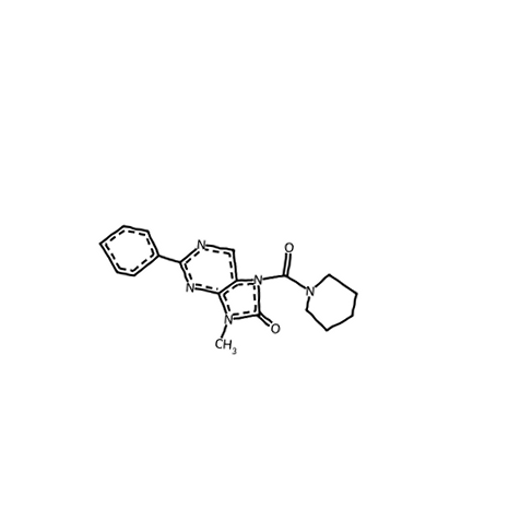 Cn1c(=O)n(C(=O)N2CCCCC2)c2cnc(-c3ccccc3)nc21